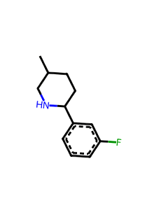 CC1CCC(c2cccc(F)c2)NC1